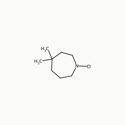 CC1(C)CCCN(Cl)CC1